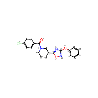 O=C(c1ccc(Cl)cc1)N1CCCC(c2nc(Oc3ccccc3)no2)C1